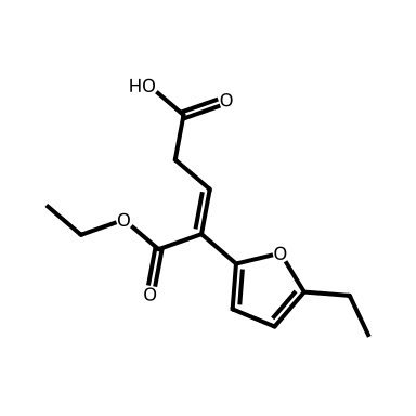 CCOC(=O)C(=CCC(=O)O)c1ccc(CC)o1